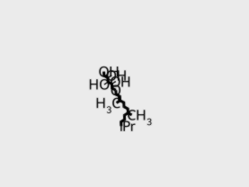 C/C(=C\COC[C@H](O)[C@@H](O)[C@H](O)CO)CCCC(C)CCCC(C)C